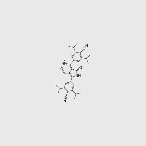 CN/C(=C1/C(=O)NC(c2cc(C(C)C)c(C#N)c(C(C)C)c2)=C1C=O)c1cc(C(C)C)c(C#N)c(C(C)C)c1